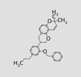 CCCc1ccc(C2COc3c(ccc4c3C=CC(C)(C)O4)C2)c(OCc2ccccc2)c1